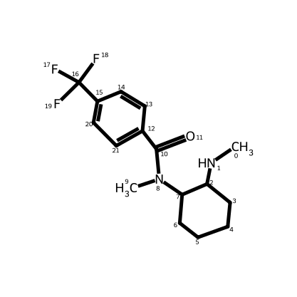 CNC1CCCCC1N(C)C(=O)c1ccc(C(F)(F)F)cc1